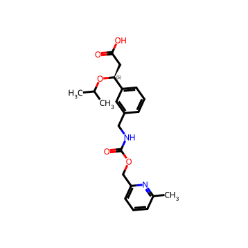 Cc1cccc(COC(=O)NCc2cccc([C@H](CC(=O)O)OC(C)C)c2)n1